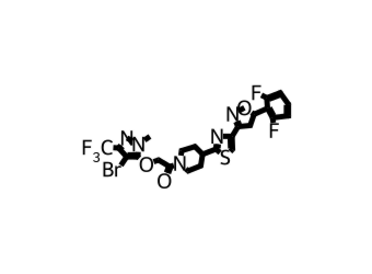 Cn1nc(C(F)(F)F)c(Br)c1OCC(=O)N1CCC(c2nc(C3=NOC(c4c(F)cccc4F)C3)cs2)CC1